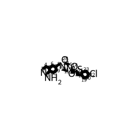 Nc1nccc2cc(CN3CCN(S(=O)(=O)c4cc5ccc(Cl)cc5s4)CC3=O)ccc12